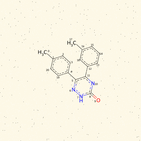 Cc1ccc(-c2n[nH]c(=O)nc2-c2cccc(C)c2)cc1